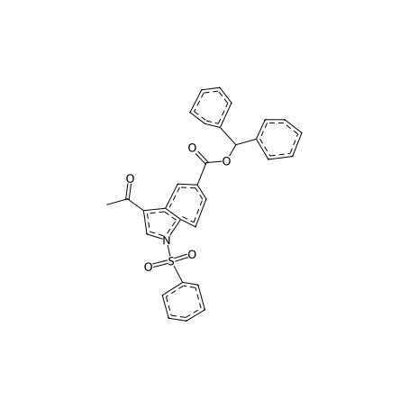 CC(=O)c1cn(S(=O)(=O)c2ccccc2)c2ccc(C(=O)OC(c3ccccc3)c3ccccc3)cc12